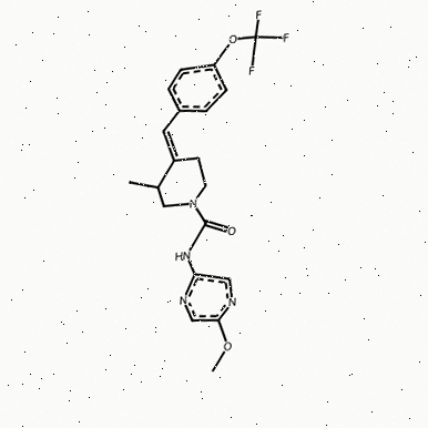 COc1cnc(NC(=O)N2CC/C(=C\c3ccc(OC(F)(F)F)cc3)C(C)C2)cn1